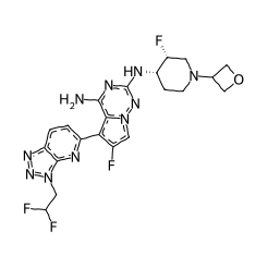 Nc1nc(N[C@H]2CCN(C3COC3)C[C@H]2F)nn2cc(F)c(-c3ccc4nnn(CC(F)F)c4n3)c12